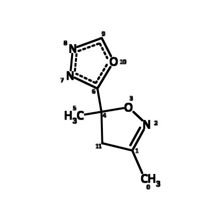 CC1=NOC(C)(c2nnco2)C1